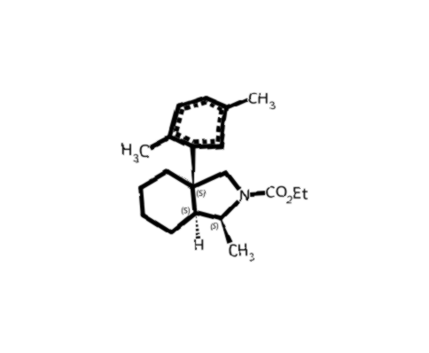 CCOC(=O)N1C[C@@]2(c3cc(C)ccc3C)CCCC[C@@H]2[C@@H]1C